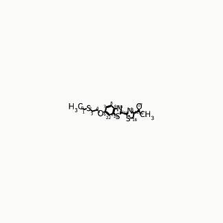 CCSCCOc1ccc2nc(C3=NC(C(C)=O)CS3)sc2c1